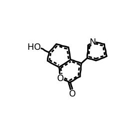 O=c1cc(-c2cccnc2)c2ccc(O)cc2o1